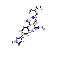 CC(C)CN/C=C1\C(=N)c2ccc(-c3cc[nH]n3)cc2N=C1N